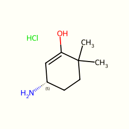 CC1(C)CC[C@H](N)C=C1O.Cl